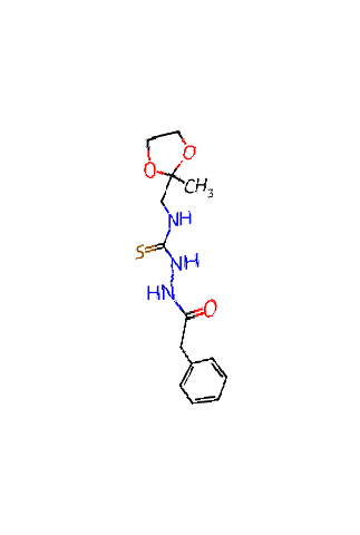 CC1(CNC(=S)NNC(=O)Cc2ccccc2)OCCO1